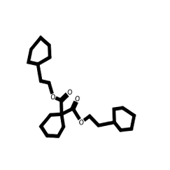 O=C(OCCC1CCCCC1)C1(C(=O)OCCC2CCCCC2)CCCCC1